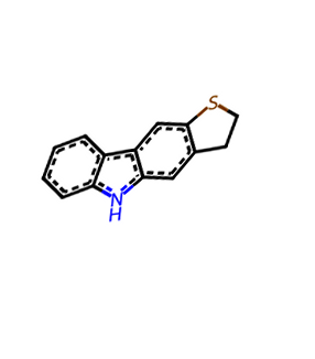 c1ccc2c(c1)[nH]c1cc3c(cc12)SCC3